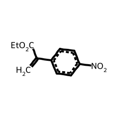 C=C(C(=O)OCC)c1ccc([N+](=O)[O-])cc1